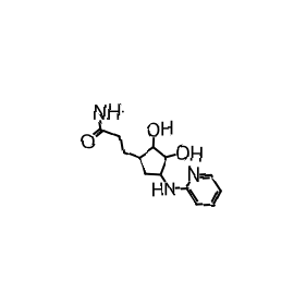 [NH]C(=O)CCC1CC(Nc2ccccn2)C(O)C1O